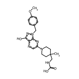 COc1ccc(Cn2nc(O)c3ncc(N4CCC(C)(CNC(=O)O)CC4)nc32)cc1